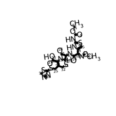 CCOC(=O)Nc1nc(/C(=N\OC)C(=O)NC2C(=O)N3C(C(=O)O)=C(CSc4nncs4)CS[C@H]23)cs1